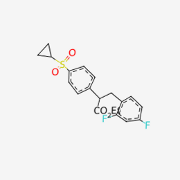 CCOC(=O)C(Cc1ccc(F)cc1F)c1ccc(S(=O)(=O)C2CC2)cc1